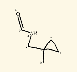 CC1(CN[C]=O)CC1